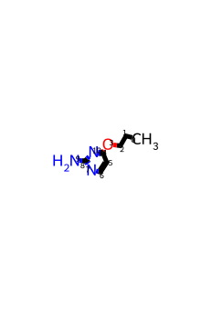 CCCOc1ccnc(N)n1